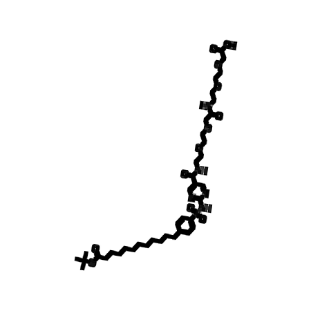 CC(C)(C)OC(=O)CCCCCCCCCCCc1ccc(S(=O)(=O)Nc2ncc(C(=O)NCCOCCOCC(=O)NCCOCCOCC(=O)O)cn2)cc1